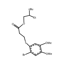 CCCCC(CC)COC(=O)CCSc1cc(OC)c(OC)cc1Br